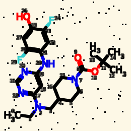 CCN(CC1CCN(C(=O)OC(C)(C)C)CC1)c1cc(Nc2cc(F)c(O)cc2F)ncn1